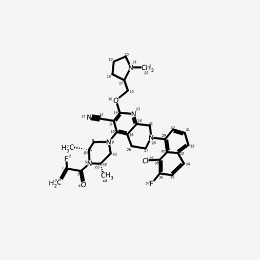 C=C(F)C(=O)N1[C@H](C)CN(c2c(C#N)c(OCC3CCCN3C)nc3c2CCN(c2cccc4ccc(F)c(Cl)c24)C3)C[C@@H]1C